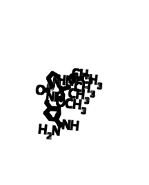 COc1cc(C(=N)N)ccc1CNC(=O)[C@@H]1CCCN1C(=O)C(C)N[Si](C)(C)C